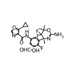 CC1(C)OC(N)=N[C@](C)(c2cc(NC(=O)c3ncoc3C3CC3)ccc2F)C1(F)F.O=CO